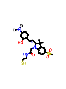 CCN(CC)c1ccc(/C=C/C2N(CC(=O)NCCS)c3ccc(S(C)(=O)=O)cc3C2(C)C)c(O)c1